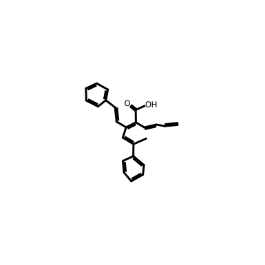 C=CC=CC(C(=O)O)=C(C=Cc1ccccc1)C=C(C)c1ccccc1